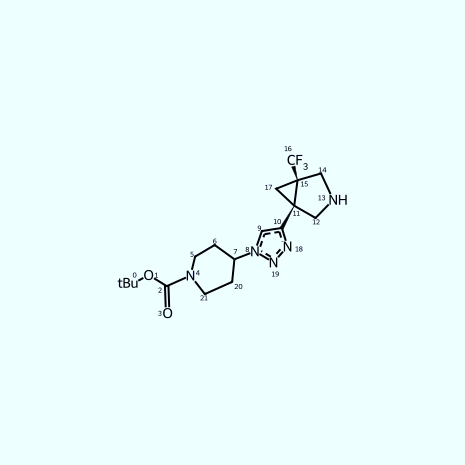 CC(C)(C)OC(=O)N1CCC(n2cc([C@]34CNC[C@@]3(C(F)(F)F)C4)nn2)CC1